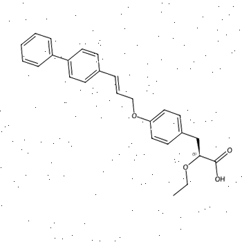 CCO[C@@H](Cc1ccc(OCC=Cc2ccc(-c3ccccc3)cc2)cc1)C(=O)O